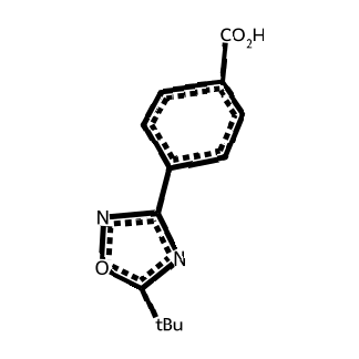 CC(C)(C)c1nc(-c2ccc(C(=O)O)cc2)no1